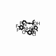 CC[C@](O)(C#Cc1ccccn1)C[C@@H]1CCC(C)C1S(=O)(=O)c1cc(C(=O)Nc2cc(F)c(F)c(F)c2)ccc1Cl